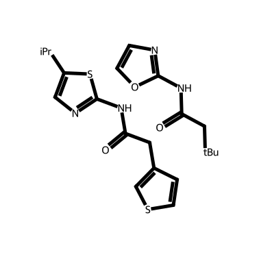 CC(C)(C)CC(=O)Nc1ncco1.CC(C)c1cnc(NC(=O)Cc2ccsc2)s1